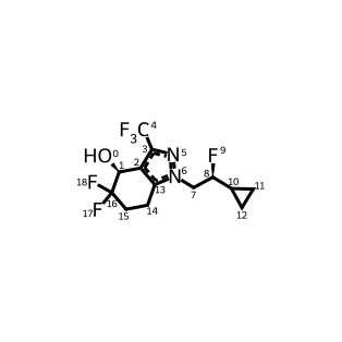 O[C@H]1c2c(C(F)(F)F)nn(C[C@@H](F)C3CC3)c2CCC1(F)F